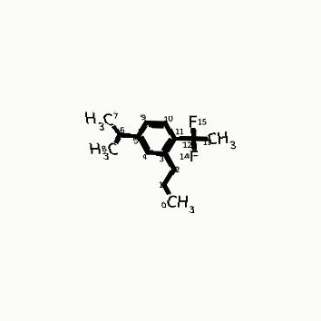 CCCc1cc(C(C)C)ccc1C(C)(F)F